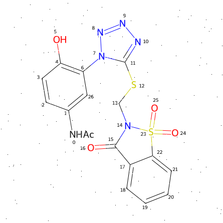 CC(=O)Nc1ccc(O)c(-n2nnnc2SCN2C(=O)c3ccccc3S2(=O)=O)c1